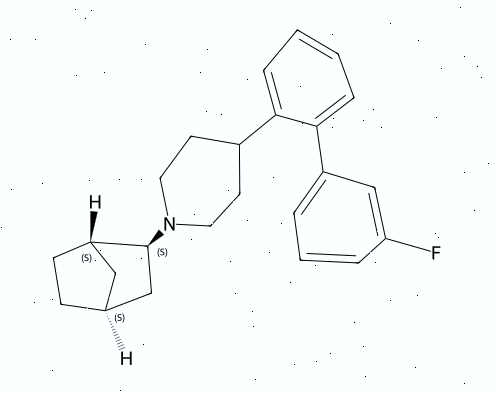 Fc1cccc(-c2ccccc2C2CCN([C@H]3C[C@H]4CC[C@H]3C4)CC2)c1